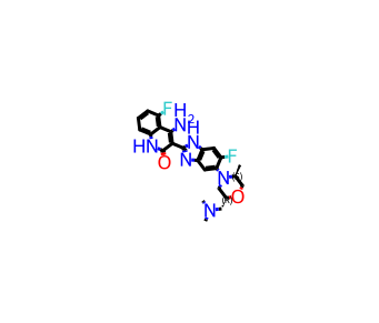 C[C@H]1CO[C@H](CN(C)C)CN1c1cc2nc(-c3c(N)c4c(F)cccc4[nH]c3=O)[nH]c2cc1F